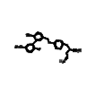 C=CCC(Cc1ccc(OCc2ccc(C(C)(C)C)c(-c3cc(OC)ccc3F)c2)cc1)C(=O)O